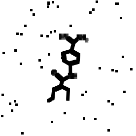 CC/C=C(\CC)C(=O)Nc1ccc(C(=N)N)cc1